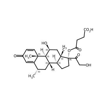 C[C@H]1C[C@@H]2[C@H]([C@@H](O)C[C@@]3(C)[C@H]2CC[C@]3(OC(=O)CCC(=O)O)C(=O)CO)[C@@]2(C)C=CC(=O)C=C12